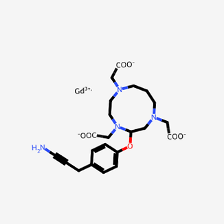 NC#CCc1ccc(OC2CN(CC(=O)[O-])CCCN(CC(=O)[O-])CCN2CC(=O)[O-])cc1.[Gd+3]